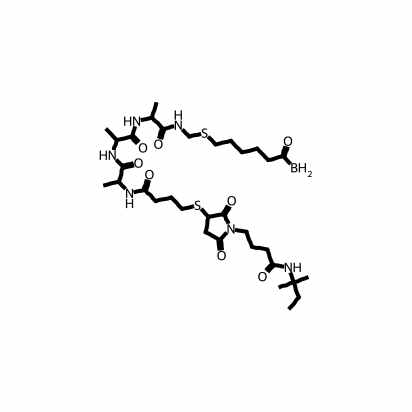 BC(=O)CCCCCSCNC(=O)C(C)NC(=O)C(C)NC(=O)C(C)NC(=O)CCCSC1CC(=O)N(CCCC(=O)NC(C)(C)CC)C1=O